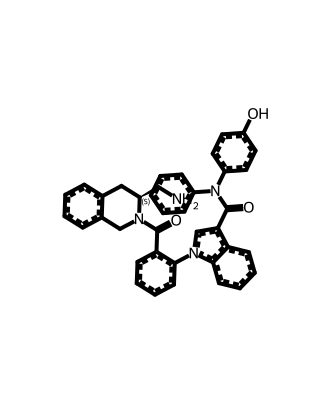 NC[C@@H]1Cc2ccccc2CN1C(=O)c1ccccc1-n1cc(C(=O)N(c2ccccc2)c2ccc(O)cc2)c2ccccc21